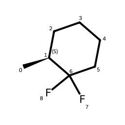 C[C@H]1CCCCC1(F)F